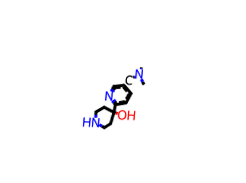 CN(C)Cc1ccc(C2(O)CCNCC2)nc1